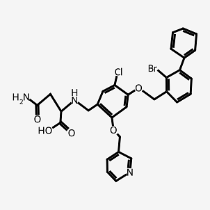 NC(=O)CC(NCc1cc(Cl)c(OCc2cccc(-c3ccccc3)c2Br)cc1OCc1cccnc1)C(=O)O